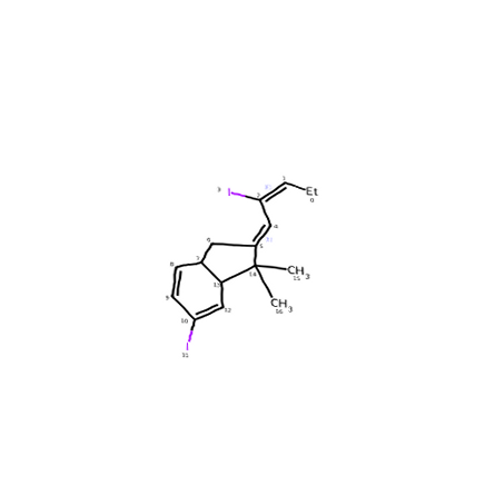 CC/C=C(I)\C=C1/CC2C=CC(I)=CC2C1(C)C